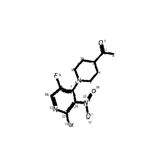 CC(=O)C1CCN(c2c(F)cnc(Br)c2[N+](=O)[O-])CC1